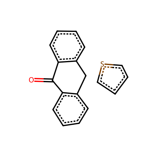 O=C1c2ccccc2Cc2ccccc21.c1ccsc1